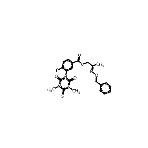 CC(COC(=O)c1ccc(F)c(-n2c(=O)n(C)c(=S)n(C)c2=O)c1)=NOCc1ccccc1